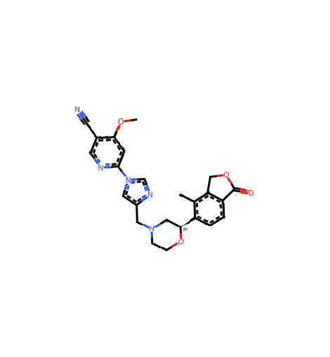 COc1cc(-n2cnc(CN3CCO[C@H](c4ccc5c(c4C)COC5=O)C3)c2)ncc1C#N